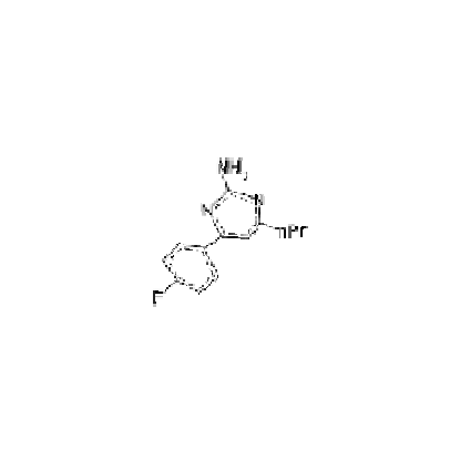 CCCc1cc(-c2ccc(F)cc2)nc(N)n1